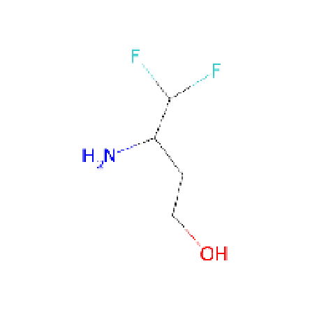 NC(CCO)C(F)F